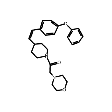 O=C(CN1CCOCC1)N1CCC(/C=C\c2ccc(Oc3ccccc3)cc2)CC1